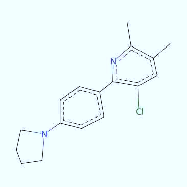 Cc1cc(Cl)c(-c2ccc(N3CCCC3)cc2)nc1C